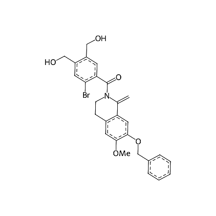 C=C1c2cc(OCc3ccccc3)c(OC)cc2CCN1C(=O)c1cc(CO)c(CO)cc1Br